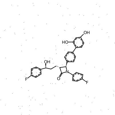 O=C1[C@H](CC[C@H](O)c2ccc(F)cc2)[C@@H](c2ccc(-c3ccc(O)cc3O)cc2)N1c1ccc(F)cc1